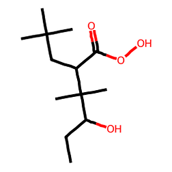 CCC(O)C(C)(C)C(CC(C)(C)C)C(=O)OO